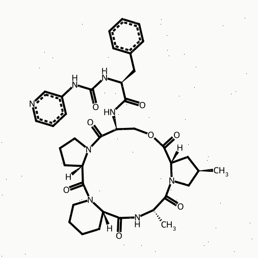 C[C@@H]1C[C@H]2C(=O)OC[C@H](NC(=O)[C@H](Cc3ccccc3)NC(=O)Nc3cccnc3)C(=O)N3CCC[C@H]3C(=O)N3CCCC[C@H]3C(=O)N[C@@H](C)C(=O)N2C1